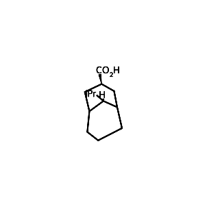 CC(C)[C@H]1C2CCCC1C[C@@H](C(=O)O)C2